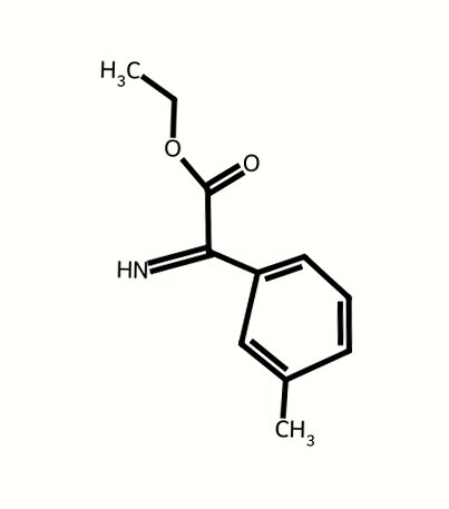 CCOC(=O)C(=N)c1cccc(C)c1